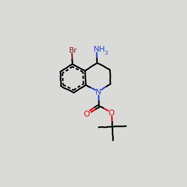 CC(C)(C)OC(=O)N1CCC(N)c2c(Br)cccc21